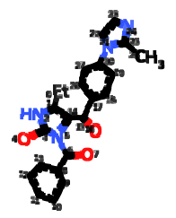 CCc1[nH]c(=O)n(C(=O)c2ccccc2)c1C(=O)c1ccc(-n2ccnc2C)cc1